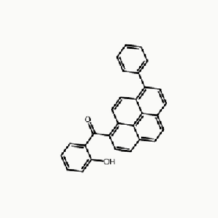 O=C(c1ccccc1O)c1ccc2ccc3ccc(-c4ccccc4)c4ccc1c2c34